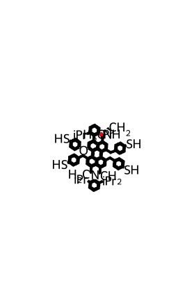 C=CNC(=C)c1cc(Cc2ccc(S)cc2)c2c3c(Cc4ccc(S)cc4)cc4c5c(cc(Cc6ccc(S)cc6)c(c6c(Oc7ccc(S)cc7)cc(-c7c(C(C)C)cccc7C(C)C)c1c26)c53)C(=C)N(c1c(C(C)C)cccc1C(C)C)C4=C